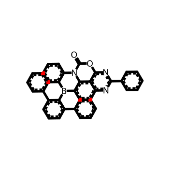 O=C1Oc2nc(-c3ccccc3)nc3ccc4c(c23)N1c1ccccc1B4c1c(-c2ccccc2)cccc1-c1ccccc1